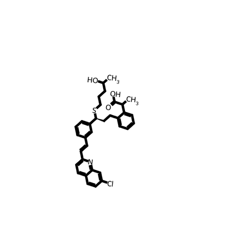 CC(O)CCCS[C@@H](CCc1ccccc1C(C)C(=O)O)c1cccc(C=Cc2ccc3ccc(Cl)cc3n2)c1